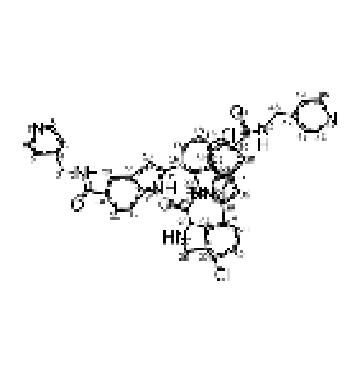 O=C(NCc1ccncc1)c1ccc2[nH]c(-c3ccc(Cl)c4c3C(C(=O)C3NCc5c(Cl)ccc(-c6cc7cc(C(=O)NCc8ccncc8)ccc7[nH]6)c53)NC4)cc2c1